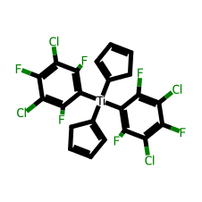 Fc1c(Cl)c(F)[c]([Ti]([C]2=CC=CC2)([C]2=CC=CC2)[c]2c(F)c(Cl)c(F)c(Cl)c2F)c(F)c1Cl